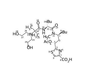 CCC(C)[C@@H](C[C@@H](OC(C)=O)c1nc(C(=O)O)cs1)N(C)C(=O)[C@@H](NC(=O)C(C)(C)N(CCO)CCO)[C@@H](C)CC